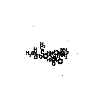 CCOc1cc(C(Nc2ccc(C(=N)N)cc2)c2nn(-c3ccccc3C(N)=O)c(=O)[nH]2)ccc1OCC(=O)NC